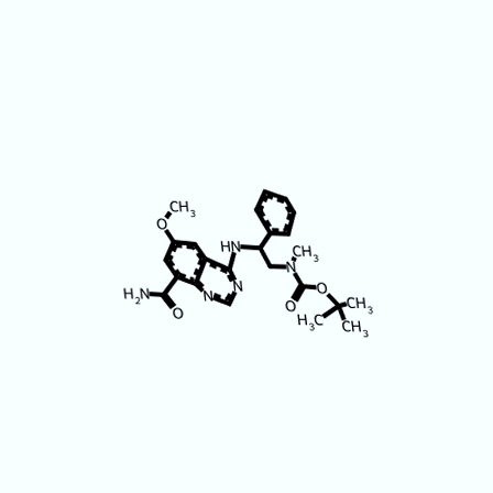 COc1cc(C(N)=O)c2ncnc(NC(CN(C)C(=O)OC(C)(C)C)c3ccccc3)c2c1